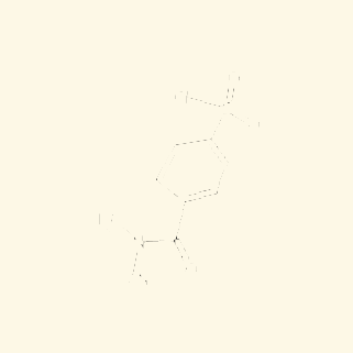 CN(C#N)C(=O)c1ccc(S(=O)(=O)Cl)cc1